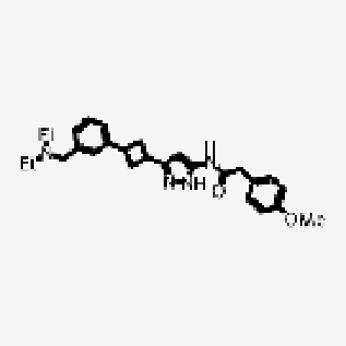 CCN(CC)Cc1cccc(C2CC(c3cc(NC(=O)Cc4ccc(OC)cc4)[nH]n3)C2)c1